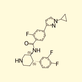 O=C(N[C@@H]1CNCC[C@H]1c1ccc(F)c(F)c1)c1ccc(-c2ccn(C3CC3)n2)cc1F